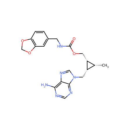 C[C@H]1[C@@H](COC(=O)NCc2ccc3c(c2)OCO3)[C@H]1Cn1cnc2c(N)ncnc21